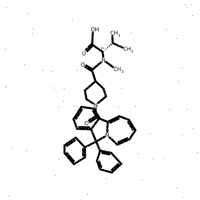 CC(C)[C@@H](C(=O)O)N(C)C(=O)C1CCN(C(=O)C2=CC=CC=CN2C(c2ccccc2)(c2ccccc2)c2ccccc2)CC1